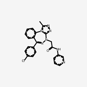 Cc1nnc2n1-c1ccccc1C(c1ccc(Cl)cc1)=NN2CC(=O)Nc1cccnc1